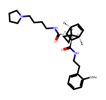 COc1ccccc1CCNC(=O)[C@H]1[C@H](C(=O)NCCCCN2CCCC2)[C@H]2C=C[C@@H]1C21CC1